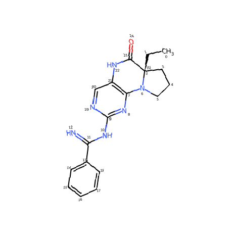 CC[C@@]12CCCN1c1nc(NC(=N)c3ccccc3)ncc1NC2=O